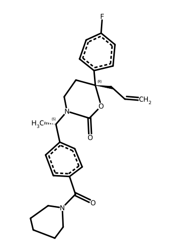 C=CC[C@]1(c2ccc(F)cc2)CCN([C@@H](C)c2ccc(C(=O)N3CCCCC3)cc2)C(=O)O1